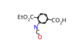 CCOC(=O)c1ccc(C(=O)O)cc1N=C=O